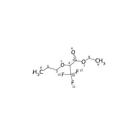 CCCOC(C(=O)OCC)C(F)(F)F